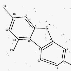 Cc1ccc2c(c1)sc1cc(C)cc(C)c12